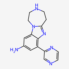 Nc1cc(-c2cnccn2)c2nc3n(c2c1)CCNCC3